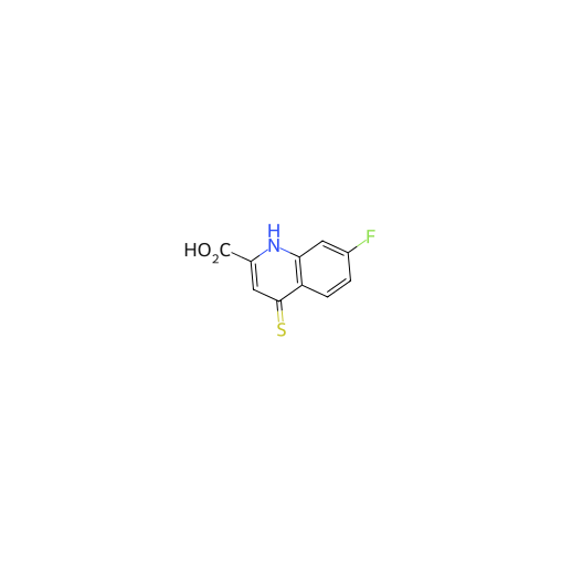 O=C(O)c1cc(=S)c2ccc(F)cc2[nH]1